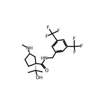 CN[C@@H]1CC[C@@](C(=O)NCc2cc(C(F)(F)F)cc(C(F)(F)F)c2)(C(C)(C)O)C1